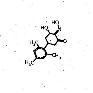 Cc1cc(C)c(C2CC(=O)C(=NO)C(O)C2)c(C)c1